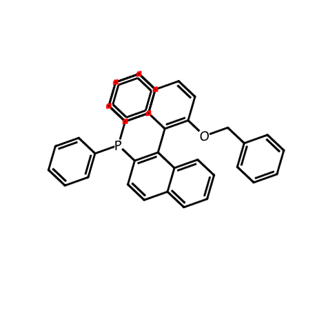 c1ccc(COc2ccc3ccccc3c2-c2c(P(c3ccccc3)c3ccccc3)ccc3ccccc23)cc1